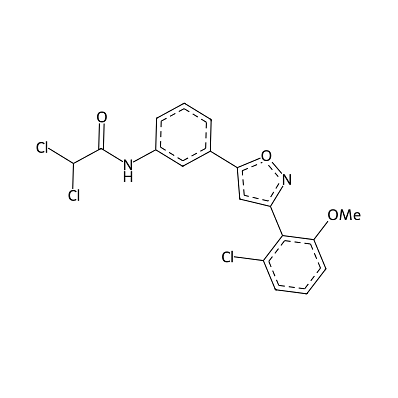 COc1cccc(Cl)c1-c1cc(-c2cccc(NC(=O)C(Cl)Cl)c2)on1